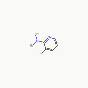 CCCN(CC)c1ncccc1CC